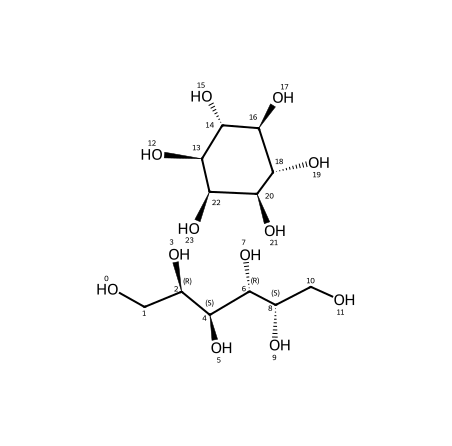 OC[C@@H](O)[C@H](O)[C@H](O)[C@@H](O)CO.O[C@H]1[C@H](O)[C@@H](O)[C@H](O)[C@@H](O)[C@H]1O